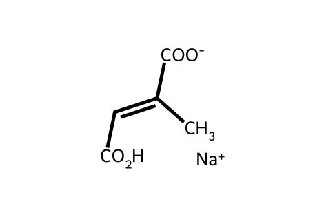 C/C(=C\C(=O)O)C(=O)[O-].[Na+]